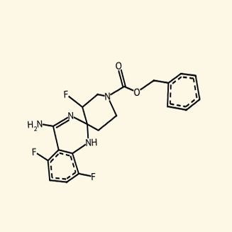 NC1=NC2(CCN(C(=O)OCc3ccccc3)CC2F)Nc2c(F)ccc(F)c21